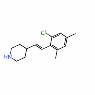 Cc1cc(C)c(/C=C/C2CCNCC2)c(Cl)c1